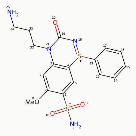 COc1cc2c(cc1S(N)(=O)=O)S(c1ccccc1)=NC(=O)N2CCCN